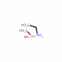 NCC(=O)O.O=S(=O)(O)O.[KH]